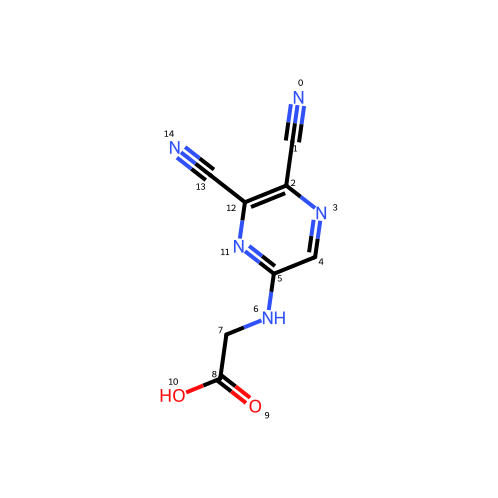 N#Cc1ncc(NCC(=O)O)nc1C#N